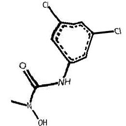 CN(O)C(=O)Nc1cc(Cl)cc(Cl)c1